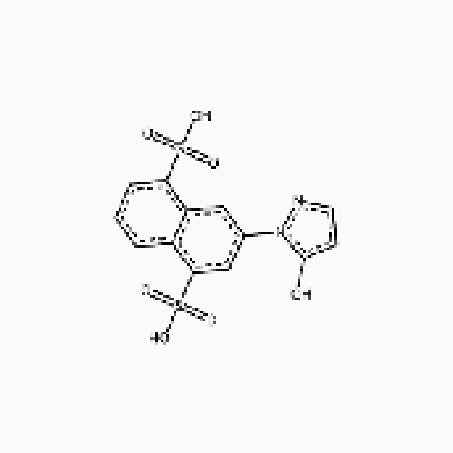 O=S(=O)(O)c1cc(-n2nccc2O)cc2c(S(=O)(=O)O)cccc12